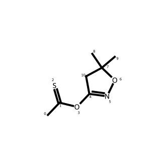 CC(=S)OC1=NOC(C)(C)C1